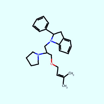 CC(C)=CCOCC(CN1c2ccccc2CC1c1ccccc1)N1CCCC1